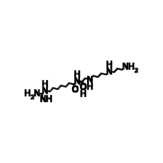 N=C(N)NCCCCCCC(=O)N[C@@H](O)CNCCCCNCCCN